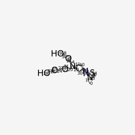 CC[n+]1ccsc1/N=N/c1ccc(N(CCOCCO)CCOCCOCCO)cc1